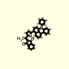 CC(=C1C(=O)c2ccccc2C1=O)c1ccc(-c2ccc3c4c(cccc24)-c2ccccc2N3c2ccccc2)o1